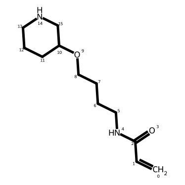 C=CC(=O)NCCCCOC1CCCNC1